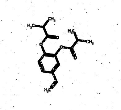 C=Cc1ccc(OC(=O)C(C)C)c(OC(=O)C(C)C)c1